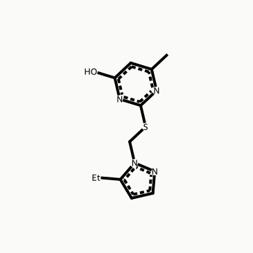 CCc1ccnn1CSc1nc(C)cc(O)n1